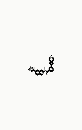 CN1CCC2(CC1)CC(c1cc(C(=O)Nc3cc4cc(-c5cn(C)nn5)ccc4cn3)ccn1)C2